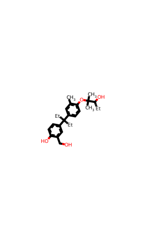 CCC(O)C(C)(C)Oc1ccc(C(CC)(CC)c2ccc(O)c(CO)c2)cc1C